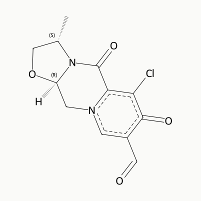 C[C@H]1CO[C@@H]2Cn3cc(C=O)c(=O)c(Cl)c3C(=O)N12